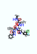 CCC[C@H](NC(=O)[C@@H]1C[C@]2(CC(c3ccc(F)c(Cl)c3)=NO2)CN1C(=O)[C@@H](NC(=O)CC1CCCCC1)C(C)(C)C)C(=O)C(=O)NC1CC1